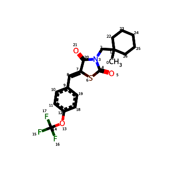 CC1(CN2C(=O)SC(=Cc3ccc(OC(F)(F)F)cc3)C2=O)CCCCC1